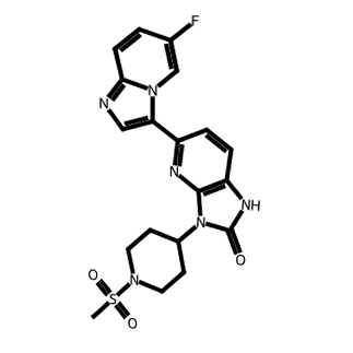 CS(=O)(=O)N1CCC(n2c(=O)[nH]c3ccc(-c4cnc5ccc(F)cn45)nc32)CC1